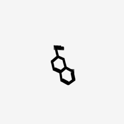 CNC1CC=C2C=CC=NC2C1